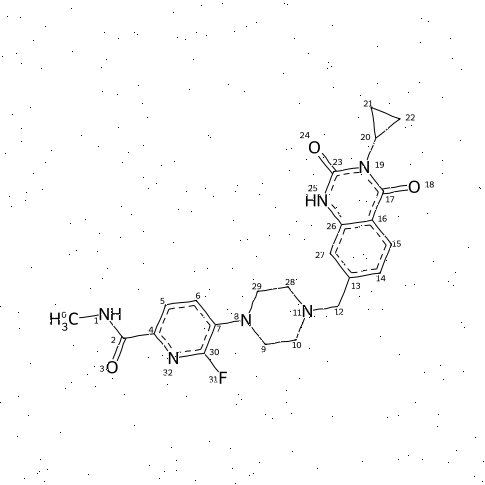 CNC(=O)c1ccc(N2CCN(Cc3ccc4c(=O)n(C5CC5)c(=O)[nH]c4c3)CC2)c(F)n1